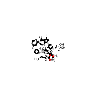 CCC[Si](CCC)(O[C@H]1[C@@H](OP(=S)(OCCC#N)OC[C@@H]2CC[C@H](Oc3ccncn3)C2)[C@H](n2cc(F)c3c(=O)[nH]cnc32)O[C@@H]1COP(=O)(O)S)O[Si]1(C(C)CC)OC1CC